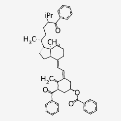 C=C1/C(=C\C=C2CCC[C@@]3(C)C2CC[C@@H]3[C@H](C)CCC(C(=O)c2ccccc2)C(C)C)C[C@@H](OC(=O)c2ccccc2)C[C@H]1C(=O)c1ccccc1